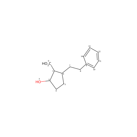 O=C(O)C1C(O)CCC1CCc1ccccc1